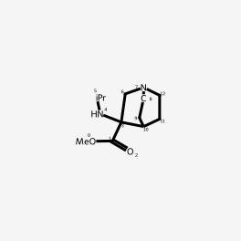 COC(=O)C1(NC(C)C)CN2CCC1CC2